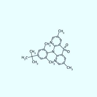 Cc1cnc2c(c1)S(=O)(=O)c1cc(C)cnc1N2c1c(C)cc(C(C)(C)C)cc1C